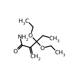 C=C(C(N)=O)C(CC)(OCC)OCC